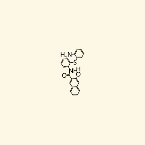 Nc1ccccc1Sc1ccccc1NC(=O)c1cc2ccccc2cc1O